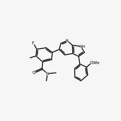 COc1ccccc1-c1c[nH]c2ncc(-c3cc(F)c(C)c(C(=O)N(C)C)c3)cc12